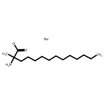 CCCCCCCCCCCCC(C)(N)C(=O)[O-].[Na+]